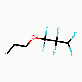 [CH2]CCOC(F)(F)C(F)(F)C(F)F